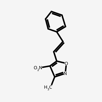 Cc1noc(C=Cc2ccccc2)c1[N+](=O)[O-]